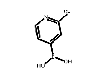 OB(O)c1ccnc([18F])c1